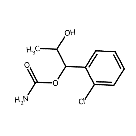 CC(O)C(OC(N)=O)c1ccccc1Cl